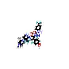 COc1cc(F)c([C@@H]2CN(c3nccc(N4C[C@@H]5C[C@H]4CN5C)c3C(F)(F)F)C(=O)[C@H]2NC(=O)N[C@H]2CC[C@H](C(F)F)CC2)c(F)c1